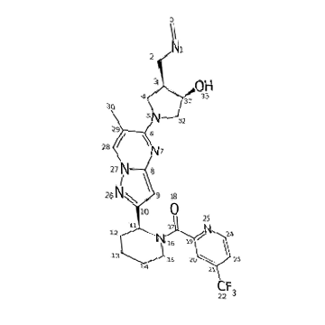 C=NC[C@@H]1CN(c2nc3cc([C@@H]4CCCCN4C(=O)c4cc(C(F)(F)F)ccn4)nn3cc2C)C[C@@H]1O